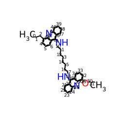 CCCc1cccc2c(NCCCCCCCCNc3c4ccccc4nc4c(OCC)cccc34)c3ccccc3nc12